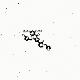 COc1ccc(C(=O)n2nc(-c3cccn(Cc4ccoc4)c3=O)cc2NCc2ccc(Cl)s2)c(OC)c1